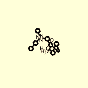 CC1(C)c2ccccc2C2(c3ccccc3-c3ccccc32)c2cc3oc4ccc(-c5nc(-c6ccccc6)nc(-c6ccc(-c7ccccc7)cc6)n5)cc4c3cc21